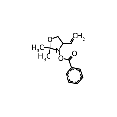 C=CC1COC(C)(C)N1OC(=O)c1ccccc1